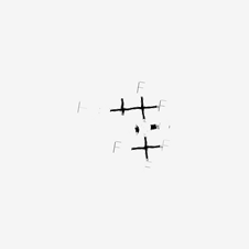 CCC(F)(F)S(=O)(=O)C(F)(F)C(C)(F)F